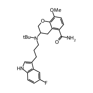 COc1ccc(C(N)=O)c2c1OCC(N(CCCc1c[nH]c3ccc(F)cc13)C(C)(C)C)C2